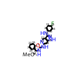 COC[C@@H](NC(=O)Nc1cc2[nH]nc(Nc3ccc(F)cc3)c2cn1)c1ccccc1